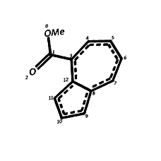 COC(=O)c1ccccc2cccc1-2